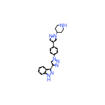 c1ccc2c(-c3cn(-c4ccc(-c5cnn(C6CCNCC6)c5)cc4)nn3)n[nH]c2c1